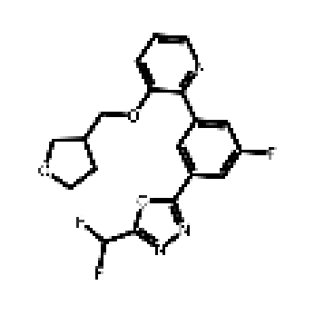 Fc1cc(-c2nnc(C(F)F)o2)cc(-c2ncccc2OCC2CCOC2)c1